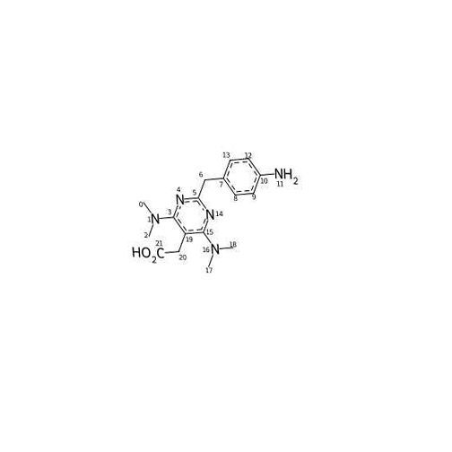 CN(C)c1nc(Cc2ccc(N)cc2)nc(N(C)C)c1CC(=O)O